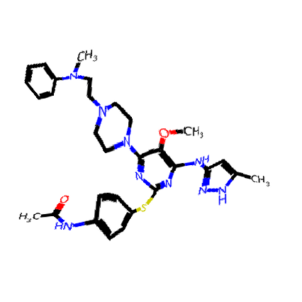 COc1c(Nc2cc(C)[nH]n2)nc(Sc2ccc(NC(C)=O)cc2)nc1N1CCN(CCN(C)c2ccccc2)CC1